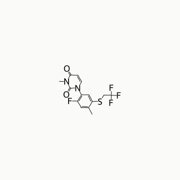 Cc1cc(F)c(-n2ccc(=O)n(C)c2=O)cc1SCC(F)(F)F